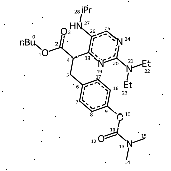 CCCCOC(=O)C(Cc1ccc(OC(=O)N(C)C)cc1)c1nc(N(CC)CC)ncc1NC(C)C